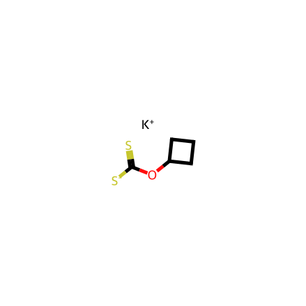 S=C([S-])OC1CCC1.[K+]